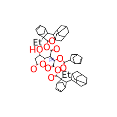 CCC1(C(=O)OC(=O)/C(OC(=O)C2CC3C=CC2C3)=C(/C(=O)OC(=O)C2(CC)C3C=CC(C3)C2C2C3CC4CC(C3)CC2C4)C2OC(=O)CC2O)C2C=CC(C2)C1C1C2CC3CC(C2)CC1C3